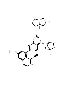 C#Cc1c(F)ccc2cc(O)cc(-c3ncc4c(N5C[C@@]6(N)CC[C@@H]5C6)nc(OC[C@@]56CCCN5C[C@H](F)C6)nc4c3F)c12